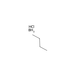 B.CCCC.Cl